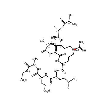 CC[C@H](C)[C@H](NC(=O)[C@H](CCC(=O)O)NC(=O)[C@H](CCC(N)=O)NC(=O)[C@H](CCCNC(=N)N)NC(=O)[C@H](CC(N)=O)NC(=O)[C@@H](NC(=O)[C@H](CCSC)NC(=O)[C@H](C)NC(=O)[C@@H](N)C(C)C)[C@@H](C)CC)C(=O)NCC(=O)O